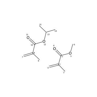 C=C(C)C(=O)OC.C=C(C)C(=O)OC(C)C